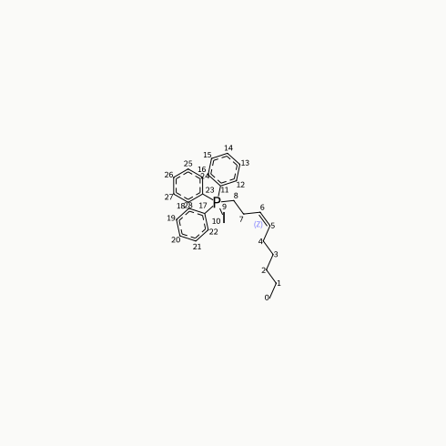 CCCCC/C=C\CCP(I)(c1ccccc1)(c1ccccc1)c1ccccc1